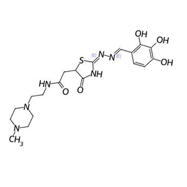 CN1CCN(CCNC(=O)CC2S/C(=N/N=C/c3ccc(O)c(O)c3O)NC2=O)CC1